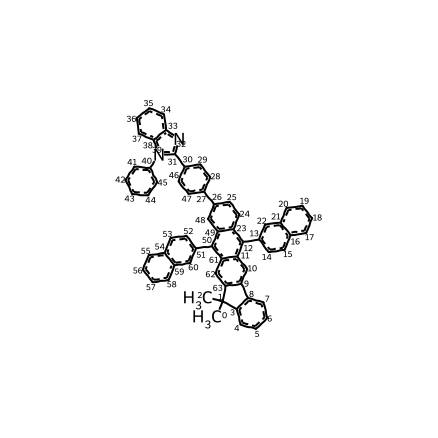 CC1(C)c2ccccc2-c2cc3c(-c4ccc5ccccc5c4)c4ccc(-c5ccc(-c6nc7ccccc7n6-c6ccccc6)cc5)cc4c(-c4ccc5ccccc5c4)c3cc21